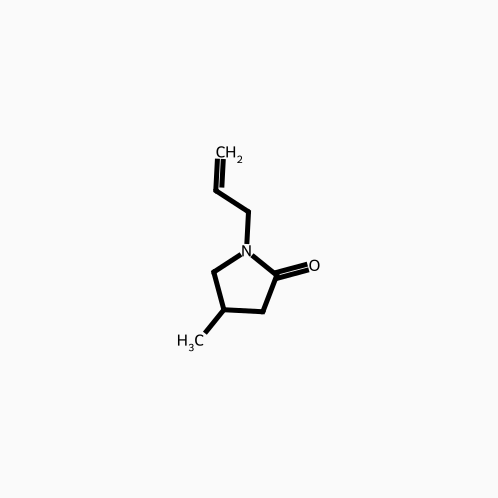 C=CCN1CC(C)CC1=O